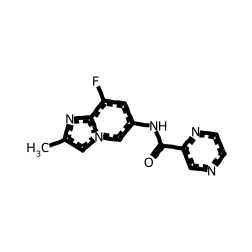 Cc1cn2cc(NC(=O)c3cnccn3)cc(F)c2n1